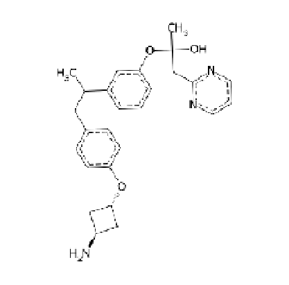 CC(Cc1ccc(O[C@H]2C[C@H](N)C2)cc1)c1cccc(OC(C)(O)Cc2ncccn2)c1